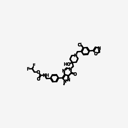 Cn1nc2c(=O)n(CC3(O)CCN(Cc4ccc(-c5cnco5)cc4Cl)CC3)cnc2c1-c1ccc(CNC(=O)OCC(F)F)cc1